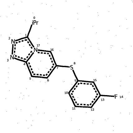 CC(C)c1nnc2ccc(Sc3cccc(F)c3)cn12